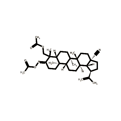 C=C(C)[C@@H]1CC[C@]2(C#N)CC[C@]3(C)[C@H](CC[C@@H]4[C@@]5(C)CCC(=NOC(C)=O)C(C)(COC(C)=O)[C@@H]5CC[C@]43C)[C@@H]12